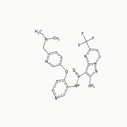 CN(C)Cc1ccc(Oc2ccncc2NC(=O)c2c(N)nn3ccc(C(F)(F)F)nc23)cn1